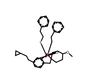 COC1CCC2(CC1)Cc1ccc(CCC3CC3)cc1C21N=C(SCCc2ccccc2)N(CCc2ccccc2)C1=O